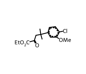 CCOC(=O)C(=O)CC(C)(C)c1ccc(Cl)c(OC)c1